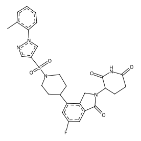 Cc1ccccc1-n1cc(S(=O)(=O)N2CCC(c3cc(F)cc4c3CN(C3CCC(=O)NC3=O)C4=O)CC2)cn1